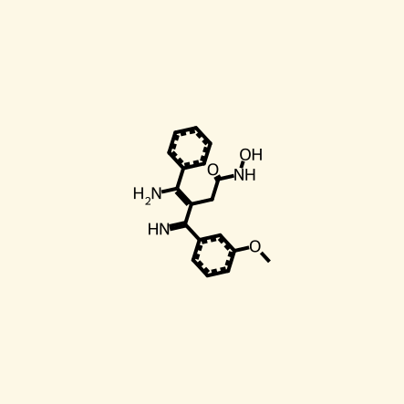 COc1cccc(C(=N)/C(CC(=O)NO)=C(\N)c2ccccc2)c1